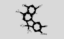 COc1cc2c(cc1Br)-c1c(cc(OC(C)=O)c3c(Cl)cc(Cl)cc13)C2(C)C